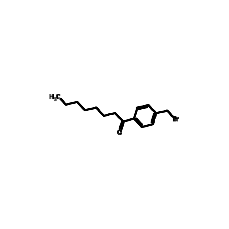 CCCCCCCC(=O)c1ccc(CBr)cc1